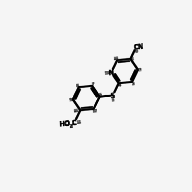 N#Cc1ccc(Sc2cccc(C(=O)O)c2)nc1